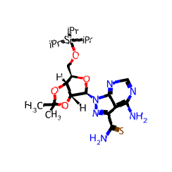 CC(C)[Si](OC[C@H]1O[C@@H](n2nc(C(N)=S)c3c(N)ncnc32)[C@@H]2OC(C)(C)O[C@@H]21)(C(C)C)C(C)C